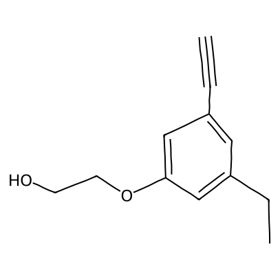 C#Cc1cc(CC)cc(OCCO)c1